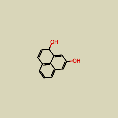 Oc1cc2c3c(cccc3c1)C=CC2O